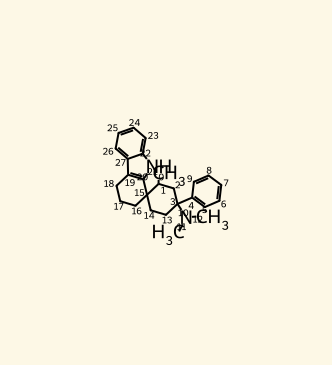 CC1CC(c2ccccc2)(N(C)C)CCC12CCCc1c2[nH]c2ccccc12